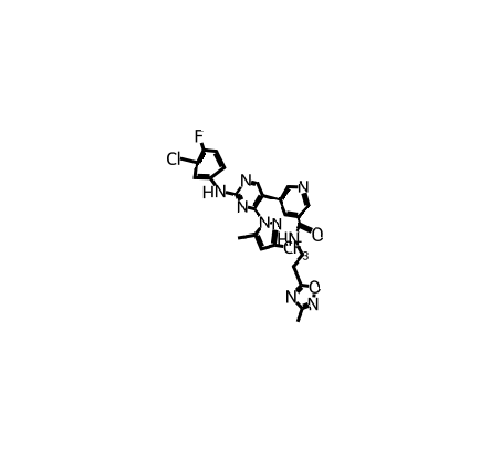 Cc1noc(CCNC(=O)c2cncc(-c3cnc(Nc4ccc(F)c(Cl)c4)nc3-n3nc(C(F)(F)F)cc3C)c2)n1